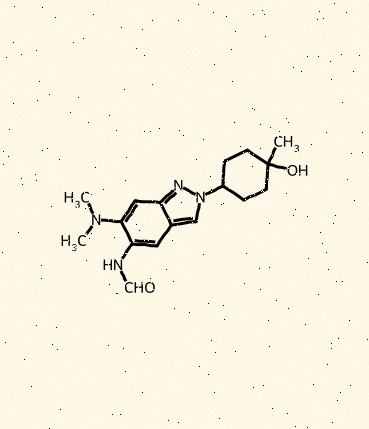 CN(C)c1cc2nn(C3CCC(C)(O)CC3)cc2cc1NC=O